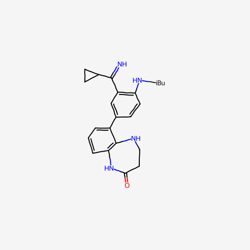 CCC(C)Nc1ccc(-c2cccc3c2NCCC(=O)N3)cc1C(=N)C1CC1